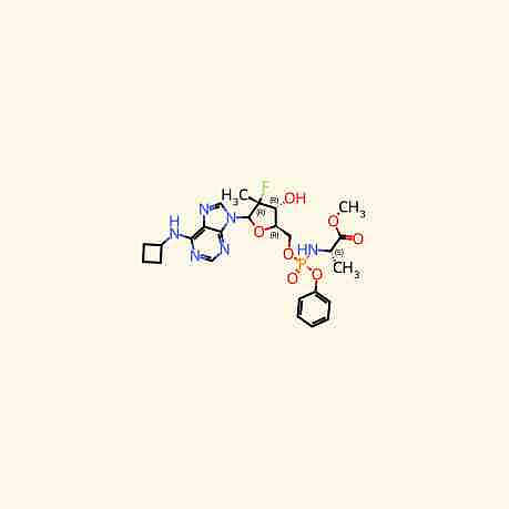 COC(=O)[C@H](C)NP(=O)(OC[C@H]1OC(n2cnc3c(NC4CCC4)ncnc32)[C@](C)(F)[C@@H]1O)Oc1ccccc1